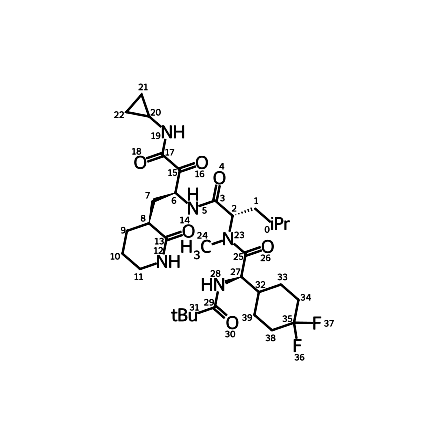 CC(C)C[C@@H](C(=O)N[C@@H](C[C@@H]1CCCNC1=O)C(=O)C(=O)NC1CC1)N(C)C(=O)[C@H](NC(=O)C(C)(C)C)C1CCC(F)(F)CC1